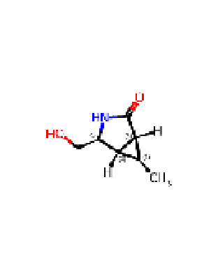 C[C@@H]1[C@H]2C(=O)N[C@H](CO)[C@@H]12